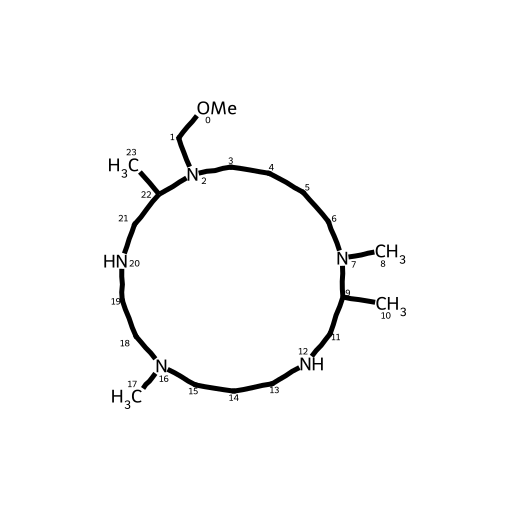 COCN1CCCCN(C)C(C)CNCCCN(C)CCNCC1C